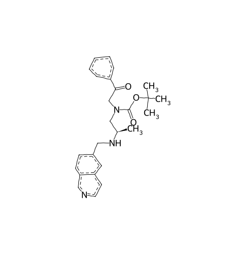 C[C@H](CN(CC(=O)c1ccccc1)C(=O)OC(C)(C)C)NCc1ccc2cnccc2c1